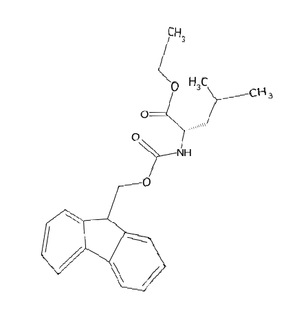 CCOC(=O)[C@H](CC(C)C)NC(=O)OCC1c2ccccc2-c2ccccc21